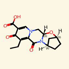 CCc1c2n(cc(C(=O)O)c1=O)C[C@@H]1O[C@H]3CC[C@H](C3)N1C2=O